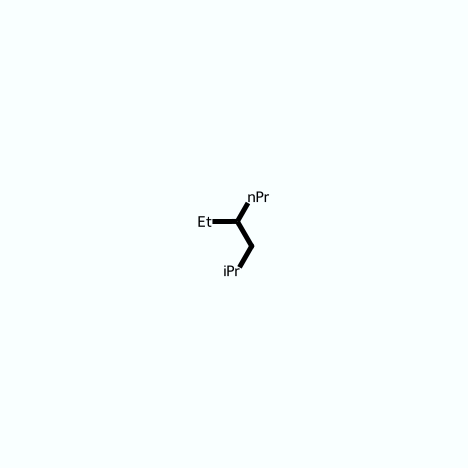 CCC[C](CC)CC(C)C